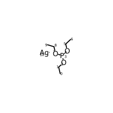 CCOP(OCC)OCC.[Ag]